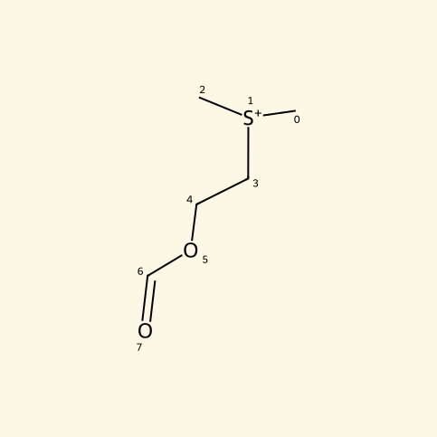 C[S+](C)CCOC=O